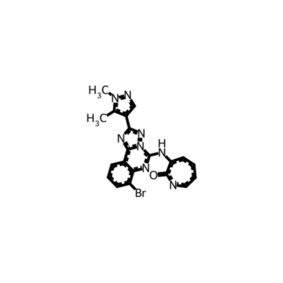 Cc1c(-c2nc3c4cccc(Br)c4nc(Nc4ccccnc4=O)n3n2)cnn1C